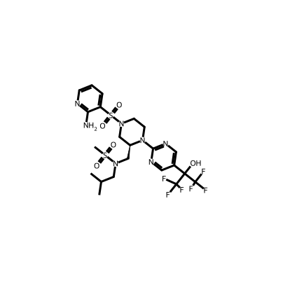 CC(C)CN(C[C@H]1CN(S(=O)(=O)c2cccnc2N)CCN1c1ncc(C(O)(C(F)(F)F)C(F)(F)F)cn1)S(C)(=O)=O